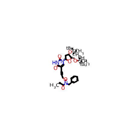 C=CC(=O)N(Cc1ccccc1)OCC#Cc1cn([C@H]2CC(O[Si](C)(C)C(C)(C)C)[C@@H](CO[Si](C)(C)C(C)(C)C)O2)c(=O)[nH]c1=O